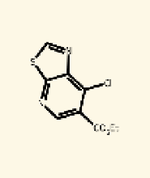 CCOC(=O)c1cnc2scnc2c1Cl